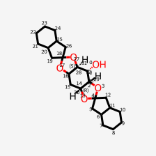 O[C@@H]1[C@@H]2OC3(CC4CCCCC4C3)O[C@@H]2CC2OC3(CC4CCCCC4C3)O[C@H]21